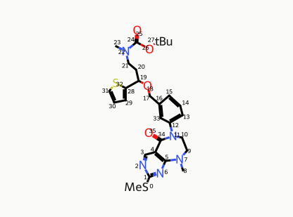 CSc1ncc2c(n1)N(C)CCN(c1cccc(COC(CCN(C)C(=O)OC(C)(C)C)c3cccs3)c1)C2=O